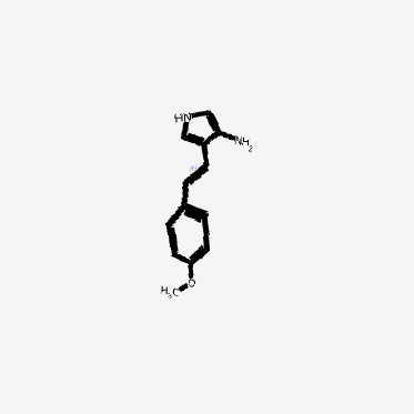 COc1ccc(/C=C/c2c[nH]cc2N)cc1